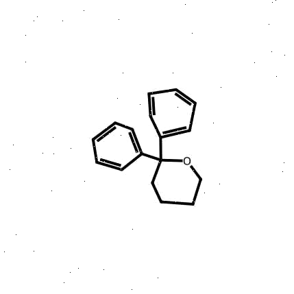 c1ccc(C2(c3ccccc3)CCCCO2)cc1